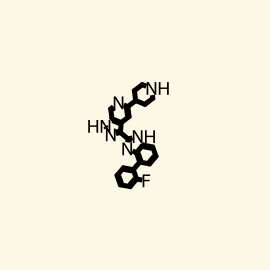 Fc1ccccc1-c1cccc2[nH]c(-c3n[nH]c4cnc(C5CCNCC5)cc34)nc12